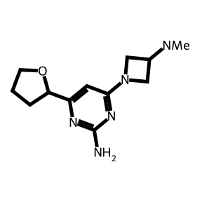 CNC1CN(c2cc(C3CCCO3)nc(N)n2)C1